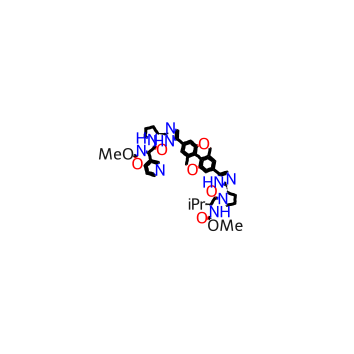 COC(=O)NC(C(=O)N1CCC[C@H]1c1ncc(-c2cc3c4c(c2)OCc2cc(-c5cnc([C@@H]6CCCN6C(=O)[C@@H](NC(=O)OC)C(C)C)[nH]5)cc(c2-4)OC3)[nH]1)c1cccnc1